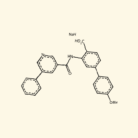 COc1ccc(-c2ccc(C(=O)O)c(NC(=O)c3cncc(-c4ccccc4)c3)c2)cc1.[NaH]